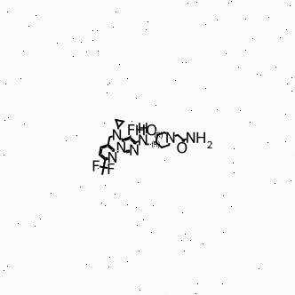 CC(F)(F)c1ccc(CN(c2ncnc(NC[C@H]3CCN(CC(N)=O)C[C@@H]3O)c2F)C2CC2)cn1